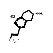 CCOC(=O)C=Cc1ccc2c(c1)C[C@H](N)CC2.Cl